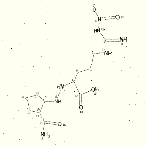 N=C(NCCCC(NNN1CCC[C@H]1C(N)=O)C(=O)O)N[N+](=O)[O-]